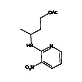 CC(=O)OCCC(C)Nc1ncccc1[N+](=O)[O-]